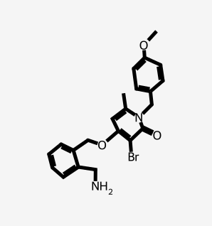 COc1ccc(Cn2c(C)cc(OCc3ccccc3CN)c(Br)c2=O)cc1